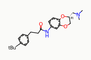 CN(C)C[C@@H]1COc2cc(NC(=O)CCc3ccc(C(C)(C)C)cc3)ccc2O1